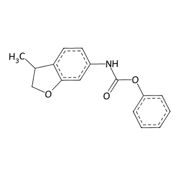 CC1COc2cc(NC(=O)Oc3ccccc3)ccc21